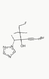 CCCCC#CC(O)(C(C)n1cncn1)C(C)(C)CF